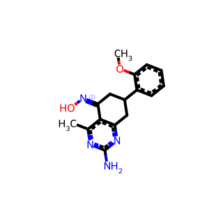 COc1ccccc1C1C/C(=N/O)c2c(C)nc(N)nc2C1